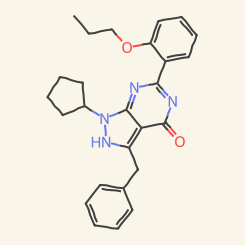 CCCOc1ccccc1-c1nc2n(C3CCCC3)[nH]c(Cc3ccccc3)c-2c(=O)n1